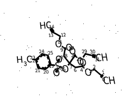 C#CCOC(=O)CC(CC(=O)OCC#C)(OS(=O)(=O)c1ccc(C)cc1)C(=O)OCC#C